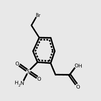 NS(=O)(=O)c1cc(CBr)ccc1CC(=O)O